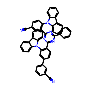 N#Cc1cccc(-c2ccc(-c3nc(-c4ccccc4)nc(-c4cc(C#N)ccc4-n4c5ccccc5c5ccccc54)n3)c(-n3c4ccccc4c4ccccc43)c2)c1